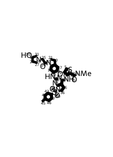 CNC(=O)c1sccc1Nc1nc(Nc2cc3c(cc2OC)CCN3C(=O)CN2CCC(O)C2)nc2c1ccn2S(=O)(=O)c1ccc(C)cc1